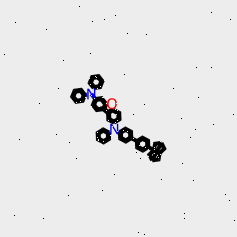 c1ccc(N(c2ccccc2)c2ccc3c(c2)oc2ccc(N(c4ccccc4)c4ccc(-c5ccc(C67CC8CC6CC8C7)cc5)cc4)cc23)cc1